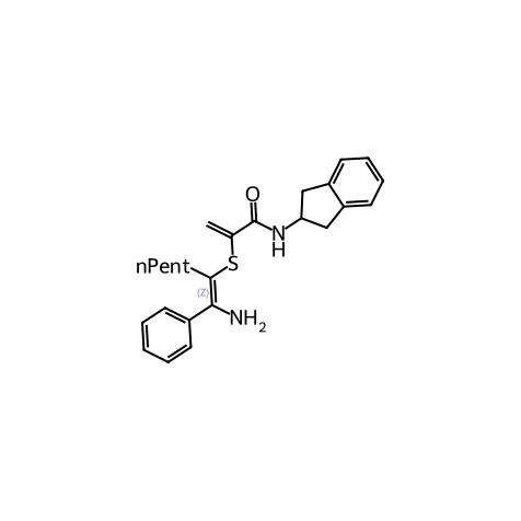 C=C(S/C(CCCCC)=C(\N)c1ccccc1)C(=O)NC1Cc2ccccc2C1